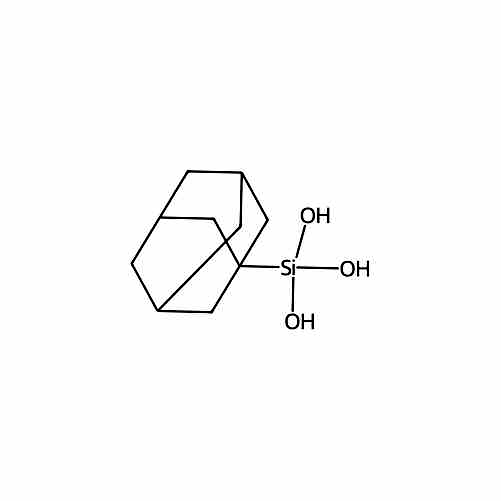 O[Si](O)(O)C12CC3CC(CC(C3)C1)C2